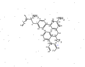 C=C=C(C)C(N)Cc1ccc(-c2cc(CC(c3ccccc3N(C=C)/C=C\C)C(F)(F)F)nc(N)n2)cc1